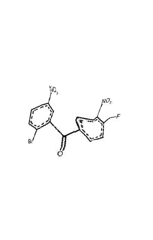 O=C(c1ccc(F)c([N+](=O)[O-])c1)c1cc([N+](=O)[O-])ccc1Br